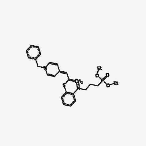 C=C(C=C1C=CN(Cc2ccccc2)C=C1)Sc1ccccc1NCCCP(=O)(OCC)OCC